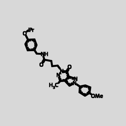 COc1ccc(-n2cc3c(C)nn(CCCC(=O)NCc4ccc(OC(C)C)cc4)c(=O)c3n2)cc1